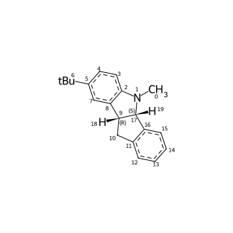 CN1c2ccc(C(C)(C)C)cc2[C@H]2Cc3ccccc3[C@H]21